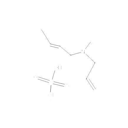 C=CCN(C)CC=CC.O=S(=O)(O)O